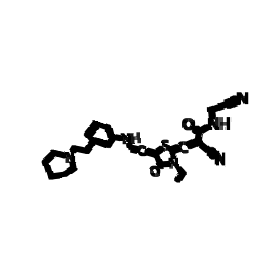 CCn1c(=C=C(C#N)C(=O)NCC#N)sc(=C=CNc2cccc(CCN3CCCCC3)c2)c1=O